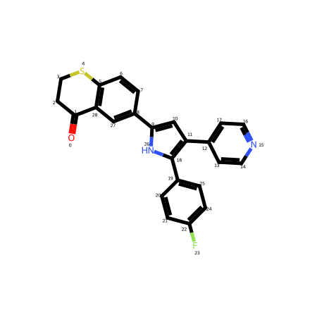 O=C1CCSc2ccc(-c3cc(-c4ccncc4)c(-c4ccc(F)cc4)[nH]3)cc21